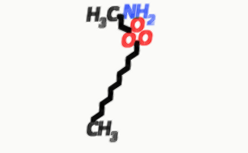 CCCCCCCCCCCC(=O)OC(=O)CC(C)N